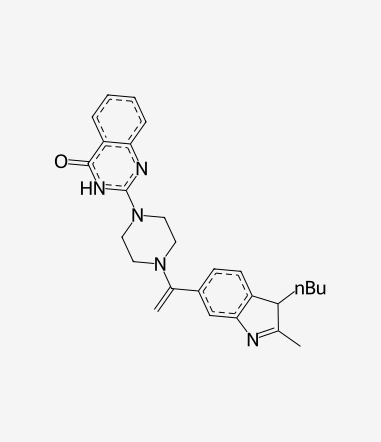 C=C(c1ccc2c(c1)N=C(C)C2CCCC)N1CCN(c2nc3ccccc3c(=O)[nH]2)CC1